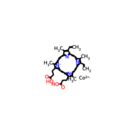 C=CC1=C(C)c2cc3[n-]c(cc4[n-]c(cc5nc(cc1n2)C(C)=C5C=C)c(C)c4CCC(=O)O)c(CCC(=O)O)c3C.[Co+2]